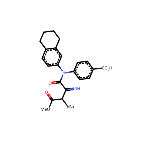 CCCCC(C(=N)C(=O)N(c1ccc(C(=O)O)cc1)c1ccc2c(c1)CCCC2)C(=O)OC